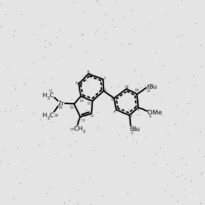 COc1c(C(C)(C)C)cc(-c2cccc3c2C=C(C)[CH]3[Zr]([CH3])[CH3])cc1C(C)(C)C